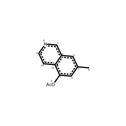 CC(=O)Oc1cc(C)cc2cnccc12